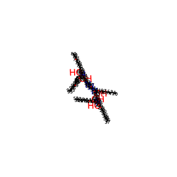 CCCCCCCCCCCCC(O)CN(CCCCCCN(CC(O)CCCCCCCCCCCC)CC(O)CCCCCCCCCCCC)CCN1CCN(CCCCCCN(CC(O)CCCCCCCCCCCC)CC(O)CCCCCCCCCCCC)CC1